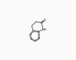 S=C1CCc2ccccc2N1